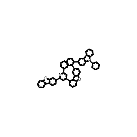 c1ccc(-c2cc(-c3cccc4oc5ccc(-c6ccccc6-c6ccc7c(c6)c6ccccc6n7-c6ccccc6)cc5c34)cc(-c3ccc4c(c3)oc3ccccc34)n2)cc1